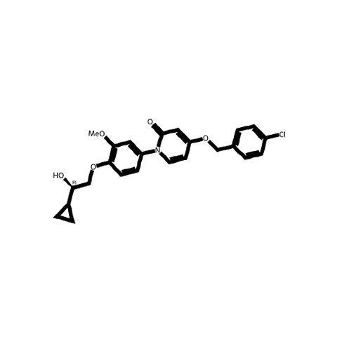 COc1cc(-n2ccc(OCc3ccc(Cl)cc3)cc2=O)ccc1OC[C@H](O)C1CC1